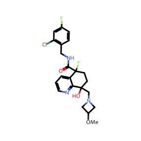 COC1CN(CC2(O)CCC(F)(C(=O)NCc3ccc(F)cc3Cl)c3cccnc32)C1